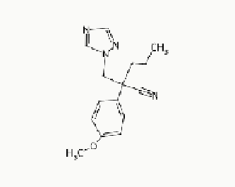 CCCC(C#N)(Cn1cncn1)c1ccc(OC)cc1